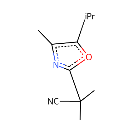 Cc1nc(C(C)(C)C#N)oc1C(C)C